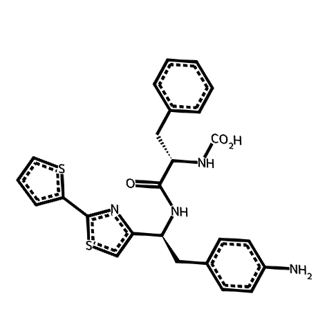 Nc1ccc(C[C@H](NC(=O)[C@H](Cc2ccccc2)NC(=O)O)c2csc(-c3cccs3)n2)cc1